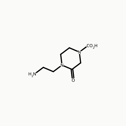 NCCN1CCN(C(=O)O)CC1=O